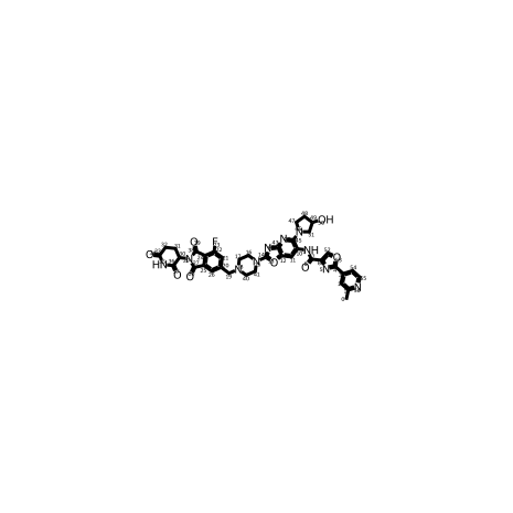 Cc1cc(-c2nc(C(=O)Nc3cc4oc(N5CCN(Cc6cc(F)c7c(c6)C(=O)N(C6CCC(=O)NC6=O)C7=O)CC5)nc4nc3N3CCC(O)C3)co2)ccn1